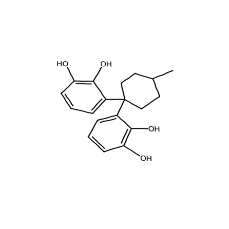 CC1CCC(c2cccc(O)c2O)(c2cccc(O)c2O)CC1